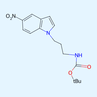 CC(C)(C)OC(=O)NCCCn1ccc2cc([N+](=O)[O-])ccc21